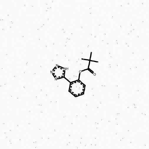 CC(C)(C)C(=O)Oc1ccccc1-c1nnn[nH]1